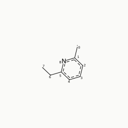 [CH2]c1cccc(CC)n1